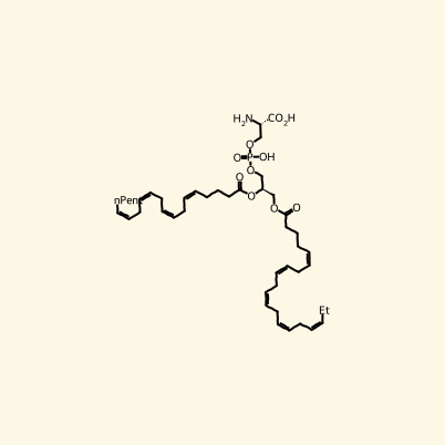 CC/C=C\C/C=C\C/C=C\C/C=C\C/C=C\CCCC(=O)OC[C@H](COP(=O)(O)OC[C@H](N)C(=O)O)OC(=O)CCC/C=C\C/C=C\C/C=C\C/C=C\CCCCC